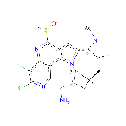 CC(=O)N1CCC[C@@H]1c1cc2c([S+](C)[O-])nc3c(F)c(Cl)ncc3c2n1[C@H]1[C@@H](CN)C[C@@H]1C